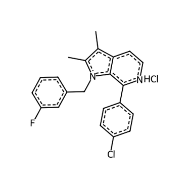 Cc1c(C)n(Cc2cccc(F)c2)c2c(-c3ccc(Cl)cc3)nccc12.Cl